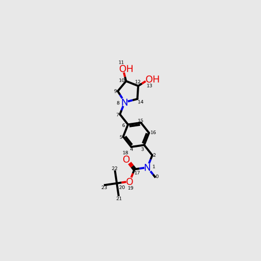 CN(Cc1ccc(CN2CC(O)C(O)C2)cc1)C(=O)OC(C)(C)C